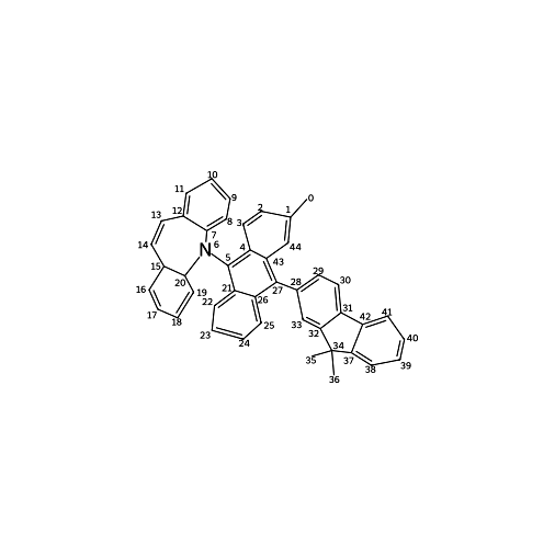 Cc1ccc2c(N3c4ccccc4C=CC4C=CC=CC43)c3ccccc3c(-c3ccc4c(c3)C(C)(C)c3ccccc3-4)c2c1